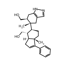 C[C@]1([C@H]2CC[C@]3(C)C(c4ccccc4)=CC[C@H]3[C@@H]2CO)Cc2cn[nH]c2C[C@@H]1CO